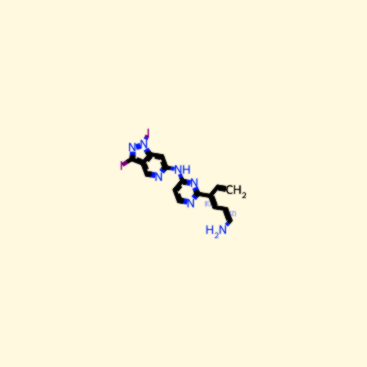 C=C/C(=C\C=C/N)c1nccc(Nc2cc3c(cn2)c(I)nn3I)n1